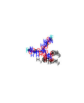 CC(C)(C)OC(=O)CN1CCN(CC(=O)OC(C)(C)C)CCN(C(CCC(=O)N2CCN(C(=O)CCC(=O)Nc3cccc4c(C(=O)NCC(=O)N5CC(F)(F)C[C@H]5C#N)ccnc34)CCN(C(=O)CCC(=O)Nc3cccc4c(C(=O)NCC(=O)N5CC(F)(F)C[C@H]5C#N)ccnc34)CC2)C(=O)O)CCN(CC(=O)OC(C)(C)C)CC1